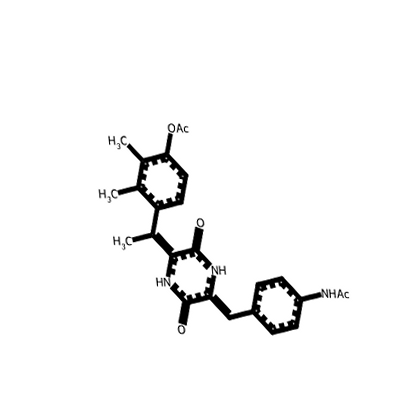 CC(=O)Nc1ccc(C=c2[nH]c(=O)c(=C(C)c3ccc(OC(C)=O)c(C)c3C)[nH]c2=O)cc1